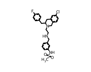 CS(=O)(=O)Nc1cccc(CNCCN2Cc3ccc(Cl)cc3CC2Cc2ccc(F)cc2)c1